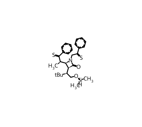 C[C@@H](C(=S)c1ccccc1)[C@@H]1[C@H]([C@@H](CO[SiH](C)C)C(C)(C)C)C(=O)N1CC(=S)c1ccccc1